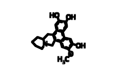 COc1cc2c3c(c4cc(O)c(O)cc4c2cc1O)CC1CCCCN1C3